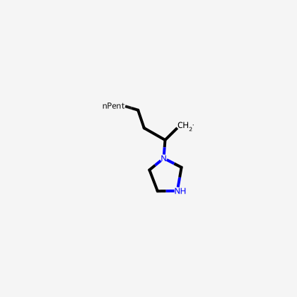 [CH2]C(CCCCCCC)N1CCNC1